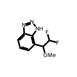 COC(c1cccc2nn[nH]c12)C(F)F